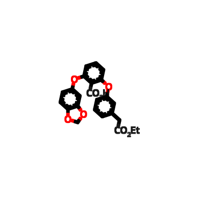 CCOC(=O)Cc1cccc(Oc2cccc(Oc3ccc4c(c3)OCO4)c2C(=O)O)c1